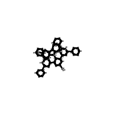 Cc1ccc2c(c1)c1ccccc1n2-c1c(-c2cc(-c3ccccc3)nc(-c3ccccc3)n2)cc(C(F)(F)F)cc1-c1cc(-c2ccccc2)nc(-c2ccccc2)n1